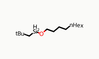 CCCCCCCCCCO[SiH2]CC(C)(C)C